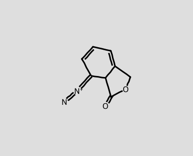 [N-]=[N+]=C1C=CC=C2COC(=O)C21